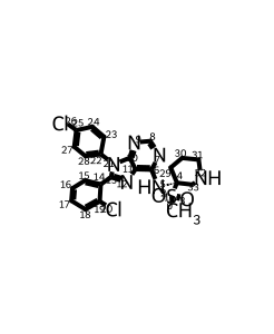 CS(=O)(=O)[C@@]1(Nc2ncnc3c2nc(-c2ccccc2Cl)n3-c2ccc(Cl)cc2)CCCNC1